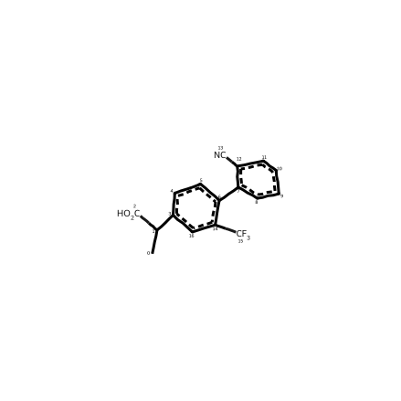 CC(C(=O)O)c1ccc(-c2ccccc2C#N)c(C(F)(F)F)c1